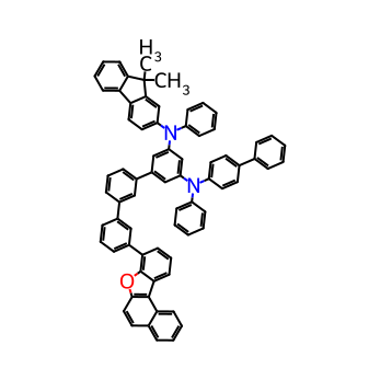 CC1(C)c2ccccc2-c2ccc(N(c3ccccc3)c3cc(-c4cccc(-c5cccc(-c6cccc7c6oc6ccc8ccccc8c67)c5)c4)cc(N(c4ccccc4)c4ccc(-c5ccccc5)cc4)c3)cc21